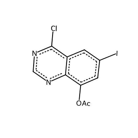 CC(=O)Oc1cc(I)cc2c(Cl)ncnc12